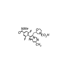 CNC(=O)c1cc(F)c(-c2nc3cc(C)ncn3c2CC2CN(C(=O)O)CCO2)c(F)c1